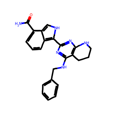 NC(=O)c1cccc2c(-c3nc4c(c(NCc5ccccc5)n3)CCCN4)[nH]cc12